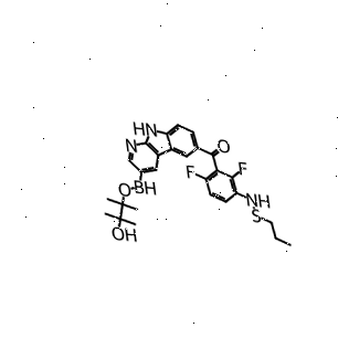 CCCSNc1ccc(F)c(C(=O)c2ccc3[nH]c4ncc(BOC(C)(C)C(C)(C)O)cc4c3c2)c1F